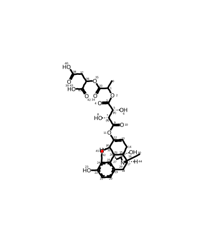 CC(OC(=O)[C@H](O)[C@@H](O)C(=O)OC1=CC[C@@]2(O)[C@H]3Cc4ccc(O)c5c4[C@@]2(CCN3C)[C@H]1O5)C(=O)OC(CC(=O)O)C(=O)O